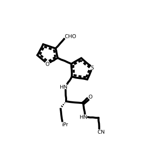 CC(C)C[C@H](Nc1cscc1-c1occc1C=O)C(=O)NCC#N